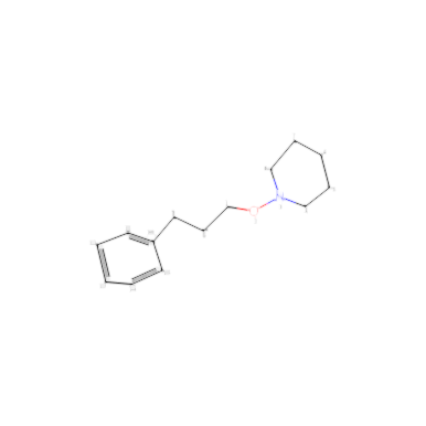 [CH](CON1CCCCC1)Cc1ccccc1